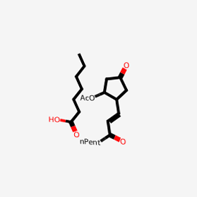 CCCCCC(=O)C=CC1CC(=O)CC1OC(C)=O.CCCCCCC(=O)O